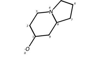 [O]C1CCN2CCCC2C1